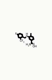 Cc1ccc(C(N)=NO)cc1NCc1ccc(F)cc1C(F)(F)F